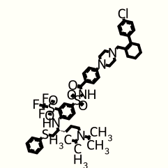 CC(C)N(CCC[C@H](CSc1ccccc1)Nc1ccc(S(=O)(=O)NC(=O)c2ccc(N3CCN(CC4=C(c5ccc(Cl)cc5)CCCC4)CC3)cc2)cc1S(=O)(=O)C(F)(F)F)C(C)C